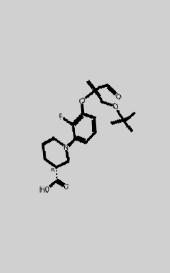 CC(C)(C)OCC(C)(C=O)Oc1cccc(N2CCC[C@@H](C(=O)O)C2)c1F